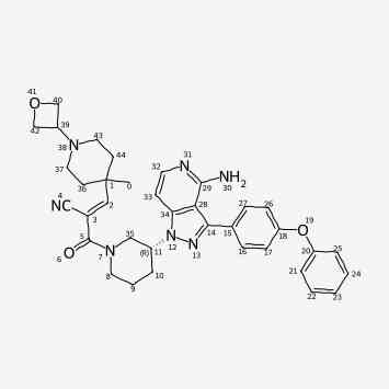 CC1(C=C(C#N)C(=O)N2CCC[C@@H](n3nc(-c4ccc(Oc5ccccc5)cc4)c4c(N)nccc43)C2)CCN(C2COC2)CC1